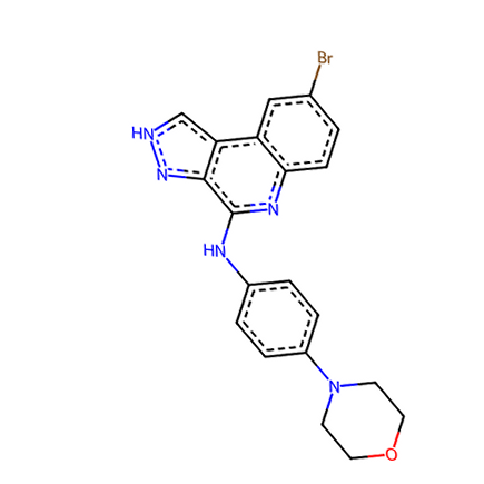 Brc1ccc2nc(Nc3ccc(N4CCOCC4)cc3)c3n[nH]cc3c2c1